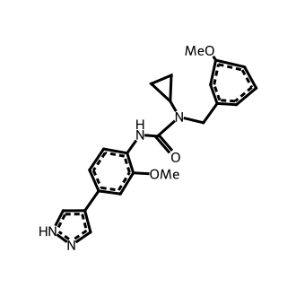 COc1cccc(CN(C(=O)Nc2ccc(-c3cn[nH]c3)cc2OC)C2CC2)c1